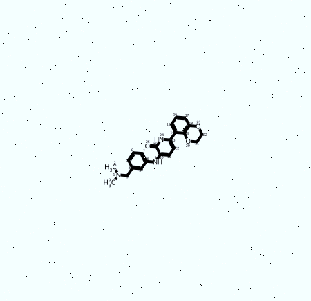 CN(C)Cc1cccc(Nc2ccc(-c3cccc4c3OCCO4)[nH]c2=O)c1